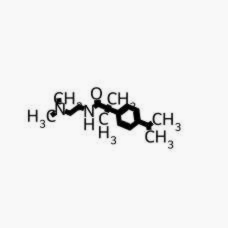 CC(C)c1ccc(C(C)(C)C(=O)NCCN(C)C)cc1